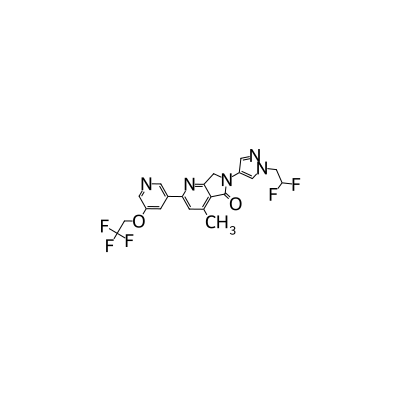 Cc1cc(-c2cncc(OCC(F)(F)F)c2)nc2c1C(=O)N(c1cnn(CC(F)F)c1)C2